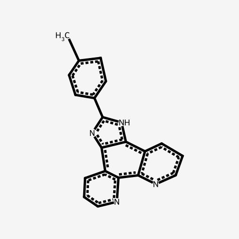 Cc1ccc(-c2nc3c4cccnc4c4ncccc4c3[nH]2)cc1